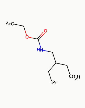 CC(=O)OCOC(=O)NCC(CC(=O)O)CC(C)C